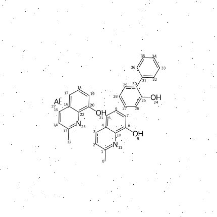 Cc1ccc2cccc(O)c2n1.Cc1ccc2cccc(O)c2n1.Oc1ccccc1-c1ccccc1.[Al]